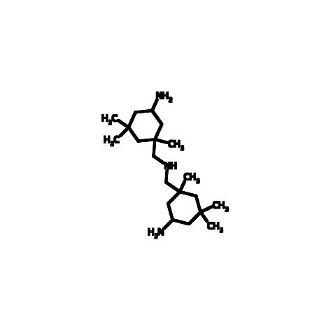 CC1(C)CC(N)CC(C)(CNCC2(C)CC(N)CC(C)(C)C2)C1